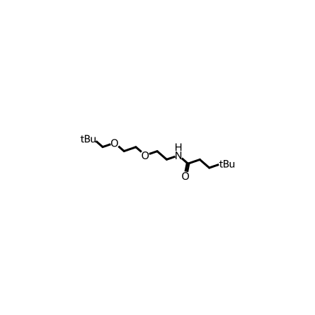 CC(C)(C)CCC(=O)NCCOCCOCC(C)(C)C